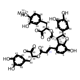 O=C(/C=C/c1ccc(O)c2c1[C@H](C(=O)O[C@H](Cc1ccc(O)c(O)c1)C(=O)[O-])[C@@H](c1ccc(O)c(O)c1)O2)O[C@H](Cc1ccc(O)c(O)c1)C(=O)[O-].[Mg+2]